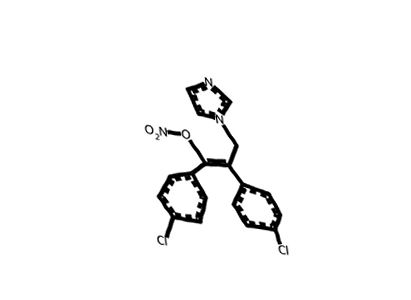 O=[N+]([O-])OC(=C(Cn1ccnc1)c1ccc(Cl)cc1)c1ccc(Cl)cc1